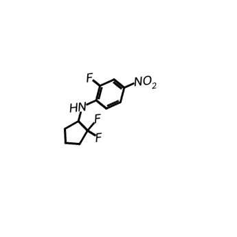 O=[N+]([O-])c1ccc(NC2CCCC2(F)F)c(F)c1